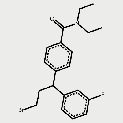 CCN(CC)C(=O)c1ccc(C(CCBr)c2cccc(F)c2)cc1